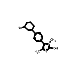 Cc1nc(O)n(C)c1-c1ccc(C2CCC[CH]([Na])C2)cc1